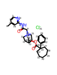 Cc1ccnc(NC(=O)C[N+]23CCC(CC2)C(OC(=O)C2(c4ccccc4)CCCCCC2)C3)c1.[Cl-]